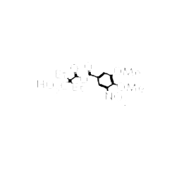 CCC(CC)(C(=O)O)C(=O)OC(=O)c1cc(OC)c(OC)c([N+](=O)[O-])c1